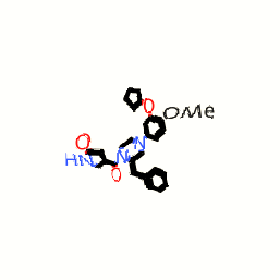 COc1ccc(N2CCN(C(=O)C3CNC(=O)C3)C(Cc3ccccc3)C2)cc1OC1CCCC1